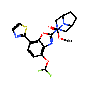 CC(C)(C)OC(=O)N1C2CCC1CN(c1nc3c(OC(F)F)ccc(-c4nccs4)c3o1)C2